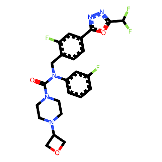 O=C(N1CCN(C2COC2)CC1)N(Cc1ccc(-c2nnc(C(F)F)o2)cc1F)c1cccc(F)c1